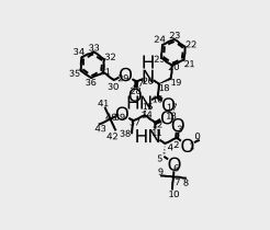 COC(=O)[C@H](COC(C)(C)C)NC(=O)[C@@H](NC(=O)[C@H](Cc1ccccc1)NC(=O)OCc1ccccc1)C(C)OC(C)(C)C